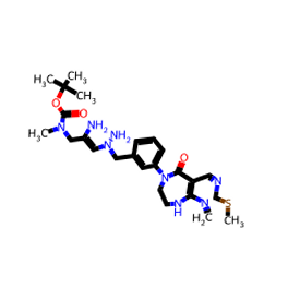 C=NC1=C(/C=N\CSC)C(=O)N(c2cccc(CN(N)/C=C(\N)CN(C)C(=O)OC(C)(C)C)c2)CCN1